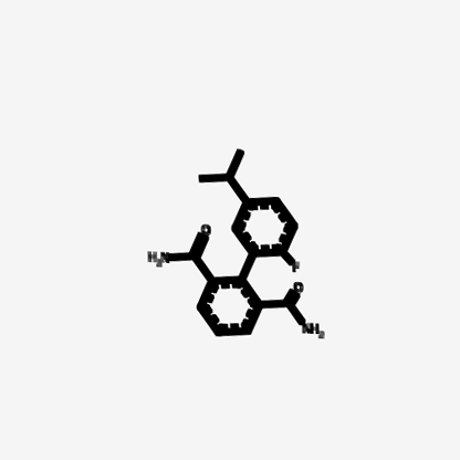 CC(C)c1ccc(F)c(-c2c(C(N)=O)cccc2C(N)=O)c1